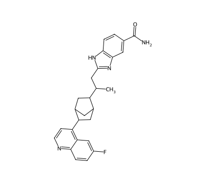 CC(Cc1nc2cc(C(N)=O)ccc2[nH]1)C1CC2CC1CC2c1ccnc2ccc(F)cc12